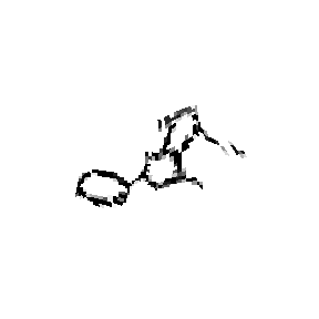 Cc1cc(-c2ccccc2)nc2[nH]nc(N)c12